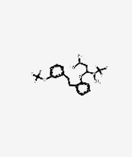 CC(O)CC(Oc1ccccc1CCc1cccc(OC(F)(F)F)c1)N(C)C(F)(F)F